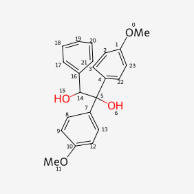 COc1ccc(C(O)(c2ccc(OC)cc2)C(O)c2ccccc2)cc1